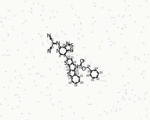 N#CC(C#N)=Nc1ncc(-c2cc3c(s2)c2sc4ccccc4c2n3C(=O)OCc2ccccc2)c2nsnc12